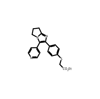 CCOC(=O)CSc1ccc(-c2nc3n(c2-c2ccncc2)CCC3)cc1